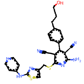 N#Cc1c(N)nc(SCc2csc(Nc3ccncc3)n2)c(C#N)c1-c1ccc(CCCO)cc1